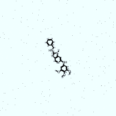 COc1cc(Nc2cc3c(cn2)nc(NCc2ccccc2)n3C)cc(OC)c1OC